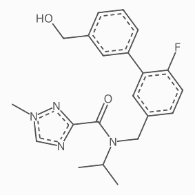 CC(C)N(Cc1ccc(F)c(-c2cccc(CO)c2)c1)C(=O)c1ncn(C)n1